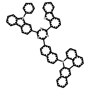 c1ccc(-n2c3ccccc3c3ccc(-c4nc(-c5ccc6ccc(N7c8cc9ccccc9cc8-c8cccc9cccc7c89)cc6c5)nc(-c5cccc6c5oc5ccccc56)n4)cc32)cc1